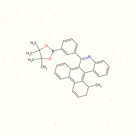 CC1CC=Cc2c1c1c3ccccc3nc(-c3cccc(B4OC(C)(C)C(C)(C)O4)c3)c1c1ccccc21